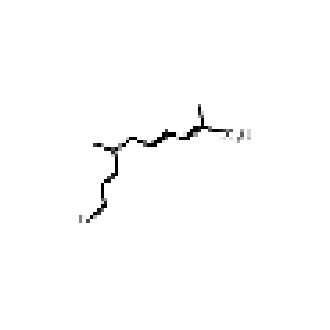 CCOC(=O)C(C)=CC=CCC(C)CCCC(C)C